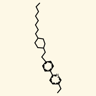 CCCCCCCCC1CCC(CCc2ccc(-c3ccc(CC)cn3)cc2)CC1